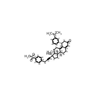 CN(C)c1ccc([C@H]2C[C@@]3(C)[C@@H](CC[C@@]3(O)C#CCc3ccc(S(C)(=O)=O)cc3)[C@@H]3CCC4=CC(=O)CCC4=C32)cc1